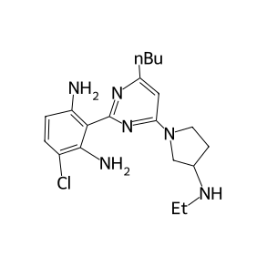 CCCCc1cc(N2CCC(NCC)C2)nc(-c2c(N)ccc(Cl)c2N)n1